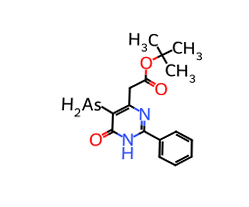 CC(C)(C)OC(=O)Cc1nc(-c2ccccc2)[nH]c(=O)c1[AsH2]